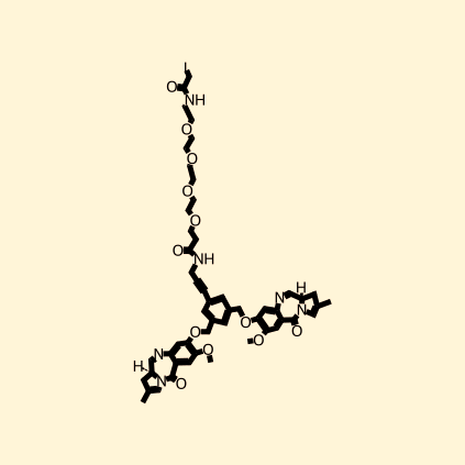 COc1cc2c(cc1OCc1cc(C#CCNC(=O)CCOCCOCCOCCOCCNC(=O)CI)cc(COc3cc4c(cc3OC)C(=O)N3C=C(C)C[C@H]3C=N4)c1)N=C[C@@H]1CC(C)=CN1C2=O